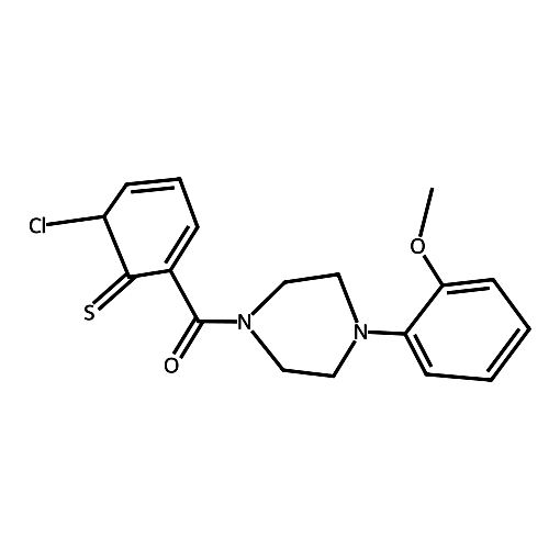 COc1ccccc1N1CCN(C(=O)C2=CC=CC(Cl)C2=S)CC1